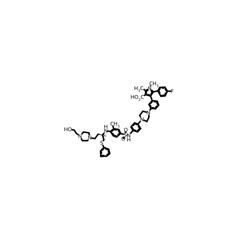 Cc1cc(S(=O)(=O)Nc2ccc(N3CCN(c4cccc(-c5c(C(=O)O)c(C)n(C)c5-c5ccc(F)cc5)c4)CC3)cc2)ccc1N[C@H](CCN1CCN(CCO)CC1)CSc1ccccc1